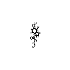 CCCOC(=O)n1ccc2c(F)c(OC)ccc21